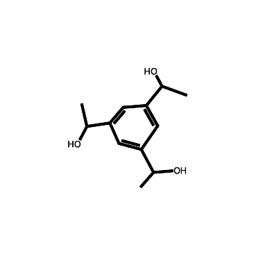 CC(O)c1cc(C(C)O)cc(C(C)O)c1